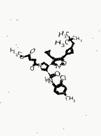 COC(=O)CCC(=O)N1C[C@H](C(=O)Nc2ccc(C)cc2Cl)[C@@H](c2noc(C3CC(CC(C)(C)C)C3)c2C2CC2)C1